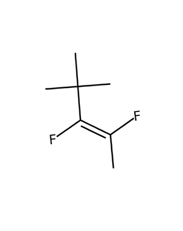 C/C(F)=C(\F)C(C)(C)C